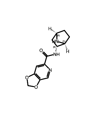 O=C(N[C@@H]1C[C@H]2CC[C@@H]1N2)c1cc2c(cn1)OCO2